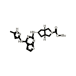 Cc1cc(Nc2nc(N[C@@H]3C[C@@H]4CN(C(=O)OC(C)(C)C)C[C@@H]4C3)nc3sccc23)n[nH]1